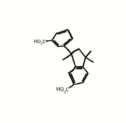 CC1(C)CC(C)(c2cccc(C(=O)O)c2)c2cc(C(=O)O)ccc21